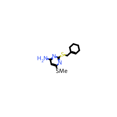 CSc1cc(N)nc(SCC2=CCCCC2)n1